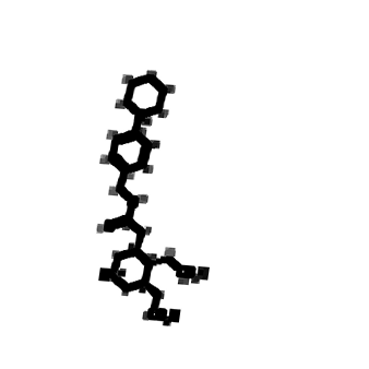 O=C(O)C[C@H]1CNC[C@@H](CC(=O)OCc2ccc(N3CCCCC3)cc2)[C@@H]1CC(=O)O